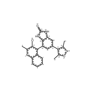 Cc1nc2ccccc2c(-c2cc(-c3c(C)noc3C)cc3[nH]c(=O)[nH]c23)c1Cl